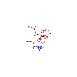 CCC=N.CCC[Si](OC)(OC)OC